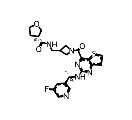 C[C@H](Nc1nc(C(=O)N2CC(CNC(=O)[C@@H]3CCOC3)C2)c2sccc2n1)c1cncc(F)c1